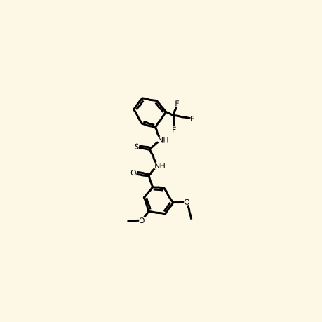 COc1cc(OC)cc(C(=O)NC(=S)Nc2ccccc2C(F)(F)F)c1